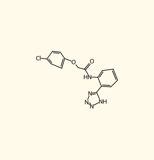 O=C(COc1ccc(Cl)cc1)Nc1ccccc1-c1nnn[nH]1